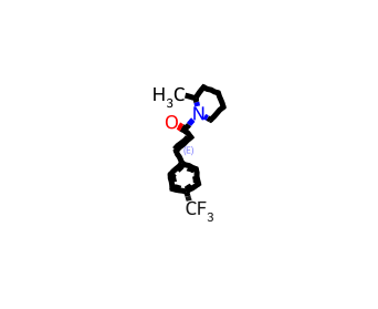 CC1CCCCN1C(=O)/C=C/c1ccc(C(F)(F)F)cc1